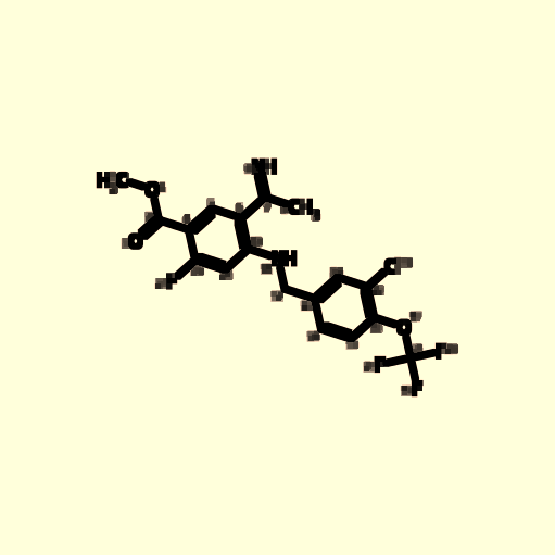 COC(=O)c1cc(C(C)=N)c(NCc2ccc(OC(F)(F)F)c(Cl)c2)cc1F